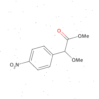 COC(=O)C(OC)c1ccc([N+](=O)[O-])cc1